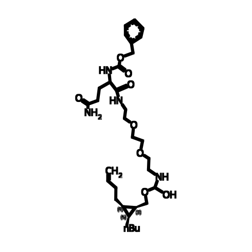 C=CCC[C@@H]1[C@H](CCCC)[C@@H]1COC(O)NCCOCCOCCNC(=O)C(CCC(N)=O)NC(=O)OCc1ccccc1